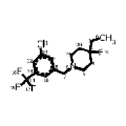 CCC1(F)CCN(Cc2cc(Cl)cc(C(F)(F)F)c2)CC1